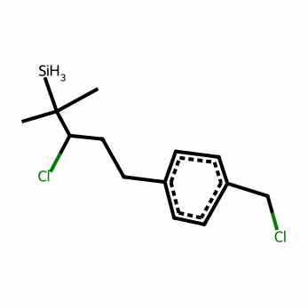 CC(C)([SiH3])C(Cl)CCc1ccc(CCl)cc1